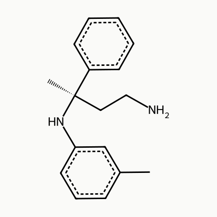 Cc1cccc(N[C@](C)(CCN)c2ccccc2)c1